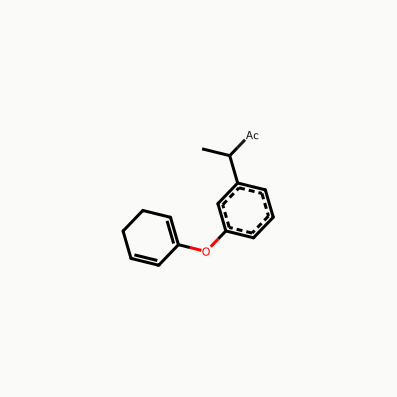 CC(=O)C(C)c1cccc(OC2=CCCC=C2)c1